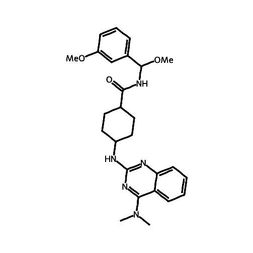 COc1cccc(C(NC(=O)C2CCC(Nc3nc(N(C)C)c4ccccc4n3)CC2)OC)c1